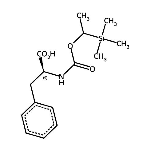 CC(OC(=O)N[C@@H](Cc1ccccc1)C(=O)O)[Si](C)(C)C